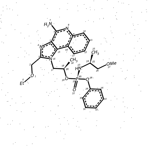 CCOCc1nc2c(N)nc3ccccc3c2n1C[C@@H](C)O[P@](=O)(N[C@@H](C)COC)Oc1ccccc1